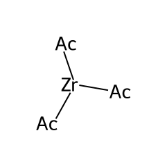 C[C](=O)[Zr]([C](C)=O)[C](C)=O